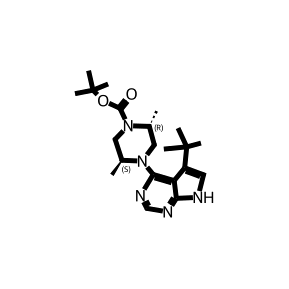 C[C@@H]1CN(c2ncnc3[nH]cc(C(C)(C)C)c23)[C@@H](C)CN1C(=O)OC(C)(C)C